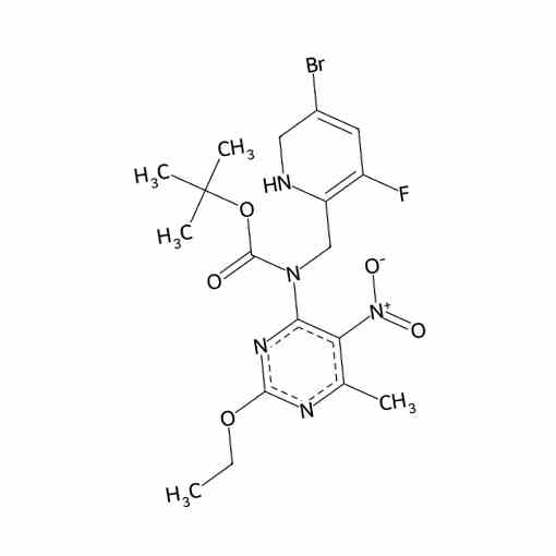 CCOc1nc(C)c([N+](=O)[O-])c(N(CC2=C(F)C=C(Br)CN2)C(=O)OC(C)(C)C)n1